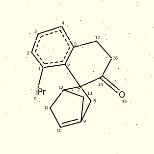 CC(C)c1cccc2c1C1(CC3=CCC1C3)C(=O)CC2